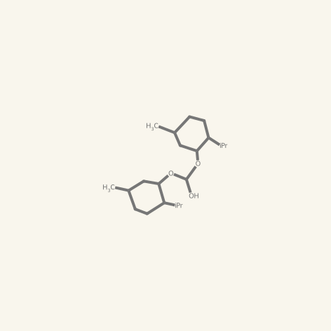 CC1CCC(C(C)C)C(OC(O)OC2CC(C)CCC2C(C)C)C1